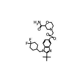 CC(C)(C)c1nc2cc(S(=O)(=O)CN3CCOC(C(N)=O)C3)ccc2n1CC1CCC(F)(F)CC1